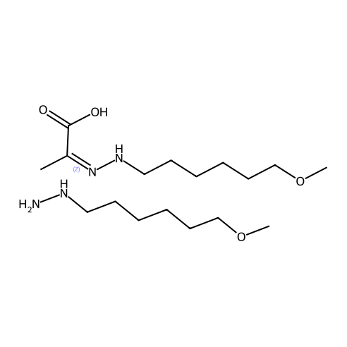 COCCCCCCN/N=C(/C)C(=O)O.COCCCCCCNN